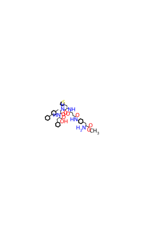 COC(=O)[C@@H](N)Cc1ccc(NC(=O)CCC(=O)N[C@H](Cc2cccs2)C(=O)N[C@@H](Cc2ccc(-c3ccccc3)cc2)C(=O)N[C@H](Cc2ccccc2)C(=O)O)cc1